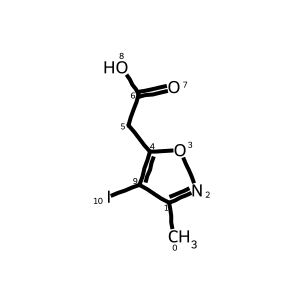 Cc1noc(CC(=O)O)c1I